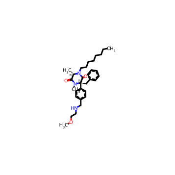 CCCCCCCCN1C(=O)[C@](Cc2ccccc2)(c2ccc(CNCCOC)cc2)N(C)C(=O)[C@@H]1C